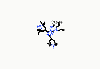 C=CCN(CC=C)C1N=C(C2CC(C)(C)NC(C)(C)C2)N=C(C2CC(C)(C)NC(C)(C)C2)N1N=CC(=O)OCC